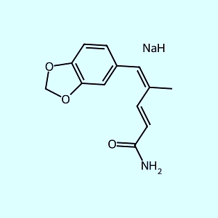 CC(C=CC(N)=O)=Cc1ccc2c(c1)OCO2.[NaH]